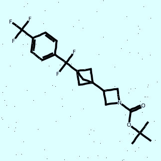 CC(C)(C)OC(=O)N1CC(C23CC(C(F)(F)c4ccc(C(F)(F)F)cc4)(C2)C3)C1